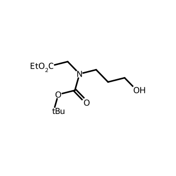 CCOC(=O)CN(CCCO)C(=O)OC(C)(C)C